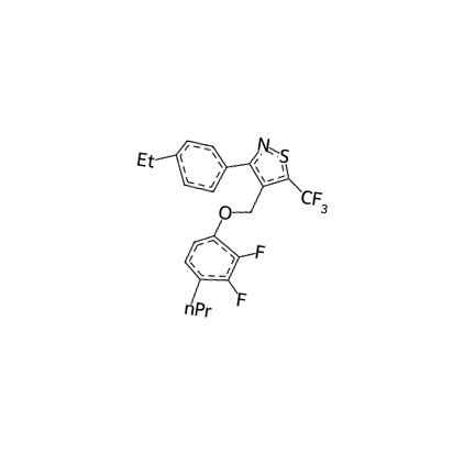 CCCc1ccc(OCc2c(-c3ccc(CC)cc3)nsc2C(F)(F)F)c(F)c1F